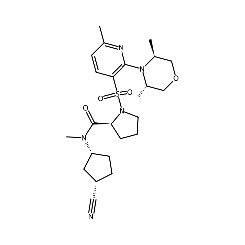 Cc1ccc(S(=O)(=O)N2CCC[C@H]2C(=O)N(C)[C@@H]2CC[C@H](C#N)C2)c(N2[C@@H](C)COC[C@@H]2C)n1